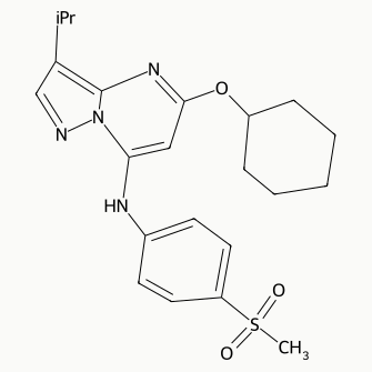 CC(C)c1cnn2c(Nc3ccc(S(C)(=O)=O)cc3)cc(OC3CCCCC3)nc12